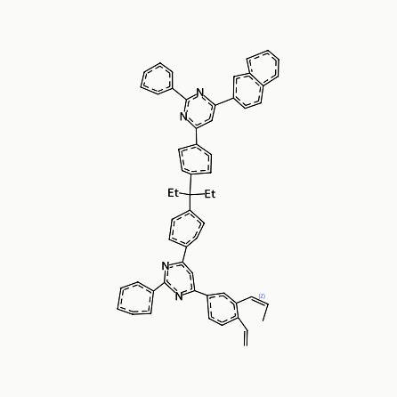 C=Cc1ccc(-c2cc(-c3ccc(C(CC)(CC)c4ccc(-c5cc(-c6ccc7ccccc7c6)nc(-c6ccccc6)n5)cc4)cc3)nc(-c3ccccc3)n2)cc1/C=C\C